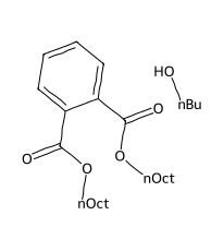 CCCCCCCCOC(=O)c1ccccc1C(=O)OCCCCCCCC.CCCCO